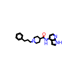 O=C(Nc1ccnc2[nH]ccc12)C1CCN(CCCc2ccccc2)CC1